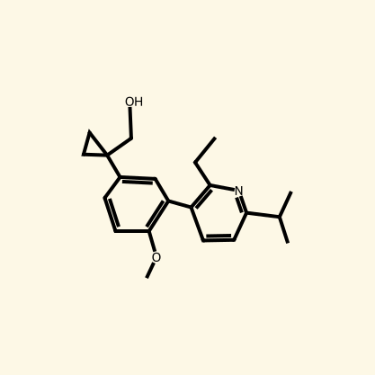 CCc1nc(C(C)C)ccc1-c1cc(C2(CO)CC2)ccc1OC